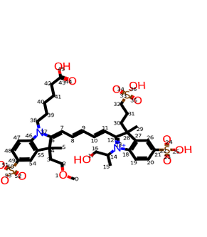 COCCC1(C)\C(=C/C=C/C=C/C2=[N+](C(C)CO)c3ccc(S(=O)(=O)O)cc3C2(C)CCCS(=O)(=O)O)N(CCCCCC(=O)O)c2ccc(S(=O)(=O)O)cc21